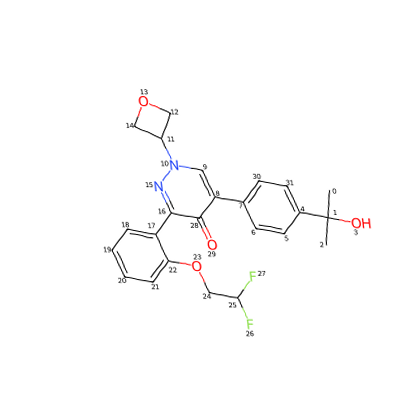 CC(C)(O)c1ccc(-c2cn(C3COC3)nc(-c3ccccc3OCC(F)F)c2=O)cc1